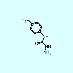 Cc1ccc(NC(=O)NN)cc1